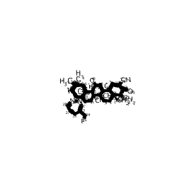 C=C[C@@]12CC[C@]3(C)C(=CC(=O)[C@@H]4[C@]5(C)CC(C)(C)CC[C@]5(N5C=C(CF)C=CC=N5)CC[C@]43C)[C@@]1(C)C=C(C#N)C(=O)C2(C)C